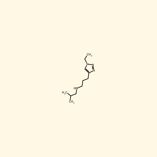 CCn1cc(CCCNCC(C)C)nn1